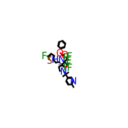 Cc1ccc(C(C)(C)N2CC[C@@](CCc3ccc(F)s3)(C(NC(=O)Oc3ccccc3)(C(F)(F)F)C(F)(F)F)C2)cn1